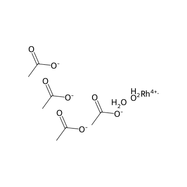 CC(=O)[O-].CC(=O)[O-].CC(=O)[O-].CC(=O)[O-].O.O.[Rh+4]